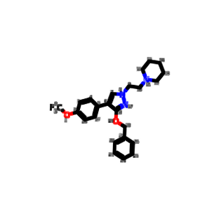 FC(F)(F)Oc1ccc(-c2cn(CCN3CCCCC3)nc2OCc2ccccc2)cc1